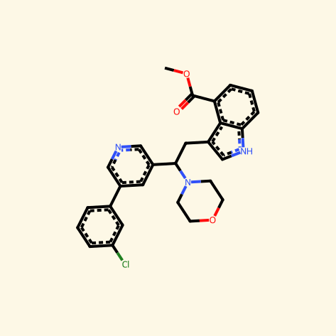 COC(=O)c1cccc2[nH]cc(CC(c3cncc(-c4cccc(Cl)c4)c3)N3CCOCC3)c12